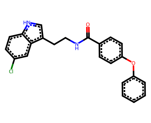 O=C(NCCc1c[nH]c2ccc(Cl)cc12)c1ccc(Oc2ccccc2)cc1